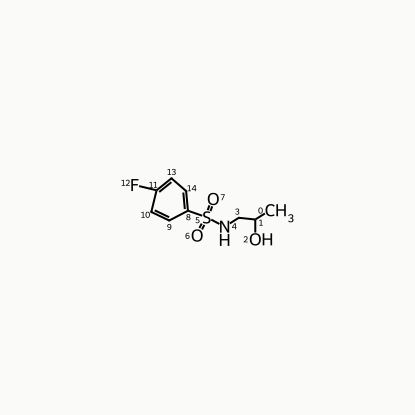 CC(O)CNS(=O)(=O)c1ccc(F)cc1